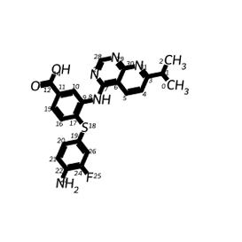 CC(C)c1ccc2c(Nc3cc(C(=O)O)ccc3Sc3ccc(N)c(F)c3)ncnc2n1